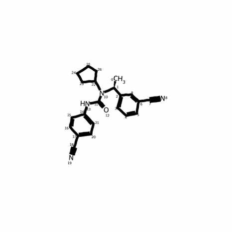 C[C@@H](c1cccc(C#N)c1)N(C(=O)Nc1ccc(C#N)cc1)C1CCCC1